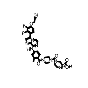 Cc1cc(Nc2nccn3c(-c4ccc(OCC#N)c(F)c4F)cnc23)ccc1C(=O)N1CCN(C(=O)N2CCN[C@H](C(=O)O)C2)CC1